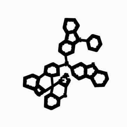 c1ccc(-n2c3ccccc3c3ccc(N(c4ccc5c(c4)C4(c6ccccc6Sc6ccccc64)c4cccc6cccc-5c46)c4ccc5c(c4)sc4ccccc45)cc32)cc1